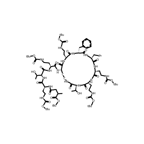 CCC(C)OC(=O)C(C)CC(=O)N[C@@H](CCNC(=O)OC(C)(C)C)C(=O)N[C@H](C(=O)N[C@@H](CCNC(=O)OC(C)(C)C)C(=O)N[C@H]1CCNC(=O)[C@H](C(C)O)NC(=O)[C@H](CCNC(=O)OC(C)(C)C)NC(=O)[C@H](CCNC(=O)OC(C)(C)C)NC(=O)[C@H](CC(C)C)NC(=O)[C@@H](Cc2ccccc2)NC(=O)[C@H](CCNC(=O)OC(C)(C)C)NC1=O)C(C)O